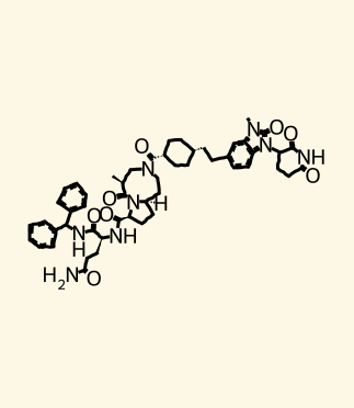 C[C@H]1CN(C(=O)[C@H]2CC[C@@H](CCc3ccc4c(c3)n(C)c(=O)n4C3CCC(=O)NC3=O)CC2)CC[C@H]2CC[C@@H](C(=O)N[C@@H](CCC(N)=O)C(=O)NC(c3ccccc3)c3ccccc3)N2C1=O